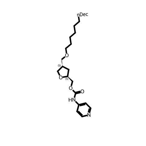 CCCCCCCCCCCCCCCCOC[C@H]1CO[C@H](COC(=O)Nc2ccncc2)C1